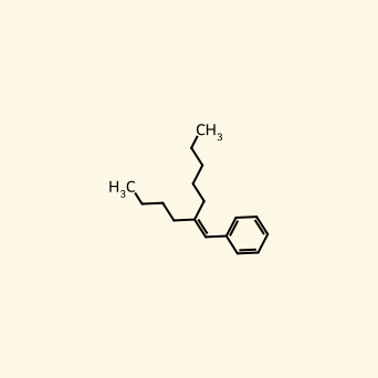 CCCCCC(=Cc1ccccc1)CCCC